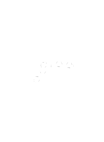 Cc1cc(-c2ccc3c(NCc4ccc(-c5ccnc(C)c5)c(C)c4)ncnc3c2)ccn1